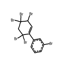 Brc1cccc(C2=CC(Br)C(Br)(Br)CC2(Br)Br)c1